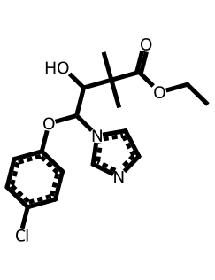 CCOC(=O)C(C)(C)C(O)C(Oc1ccc(Cl)cc1)n1ccnc1